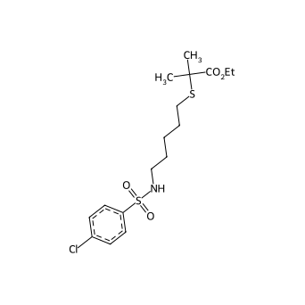 CCOC(=O)C(C)(C)SCCCCCNS(=O)(=O)c1ccc(Cl)cc1